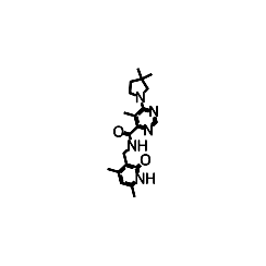 Cc1cc(C)c(CNC(=O)c2ncnc(N3CCC(C)(C)C3)c2C)c(=O)[nH]1